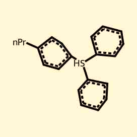 CCCc1ccc([SH](c2ccccc2)c2ccccc2)cc1